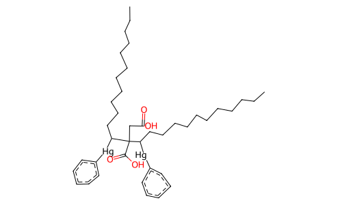 CCCCCCCCCCC[CH]([Hg][c]1ccccc1)C(CC(=O)O)(C(=O)O)[CH](CCCCCCCCCCC)[Hg][c]1ccccc1